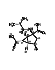 C[C@H](N)C(=O)N[C@@]1(C(=O)O)C[C@@H](F)[C@H]2[C@H](C(=O)O)[C@H]21